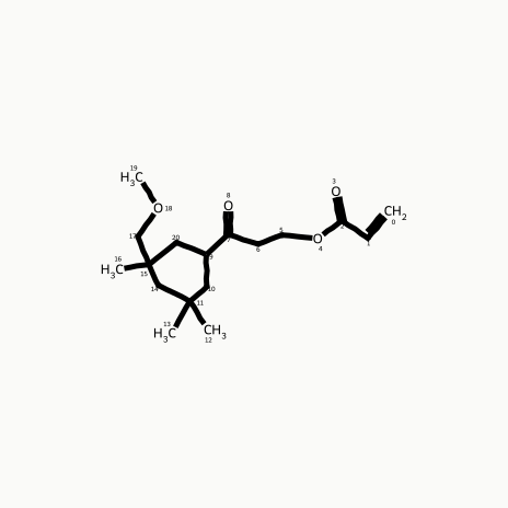 C=CC(=O)OCCC(=O)C1CC(C)(C)CC(C)(COC)C1